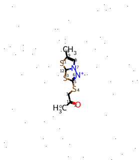 CC(=O)CSC1=[N+]N2C=C(C)SC2S1